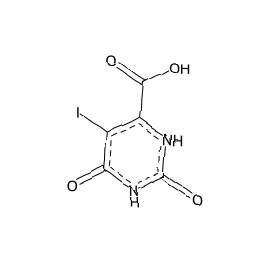 O=C(O)c1[nH]c(=O)[nH]c(=O)c1I